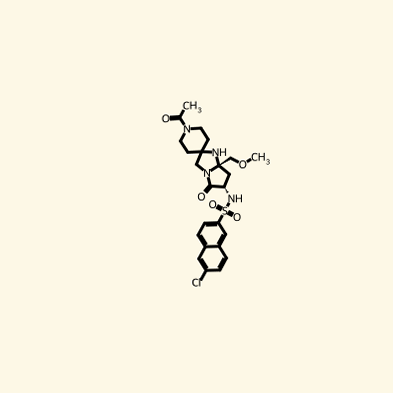 COC[C@@]12C[C@H](NS(=O)(=O)c3ccc4cc(Cl)ccc4c3)C(=O)N1CC1(CCN(C(C)=O)CC1)N2